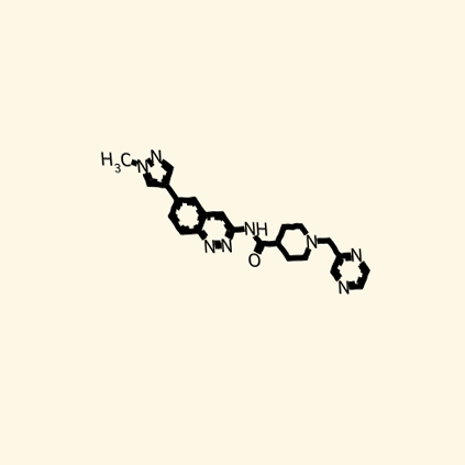 Cn1cc(-c2ccc3nnc(NC(=O)C4CCN(Cc5cnccn5)CC4)cc3c2)cn1